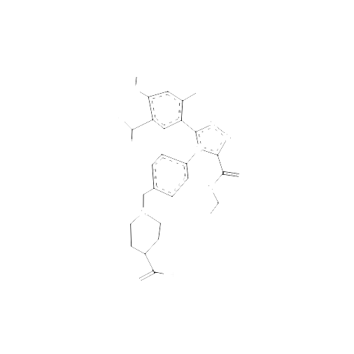 CCNC(=O)c1nnc(-c2cc(C(C)C)c(OC)cc2O)n1-c1ccc(CN2CCC(C(=O)O)CC2)cc1